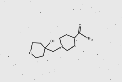 NC(=O)C1CCN(CC2(O)CCOCC2)CC1